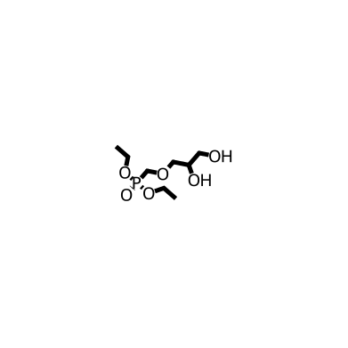 CCOP(=O)(COCC(O)CO)OCC